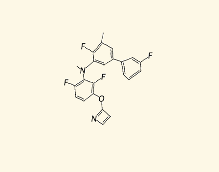 Cc1cc(-c2cccc(F)c2)cc(N(C)c2c(F)ccc(OC3=NC=C3)c2F)c1F